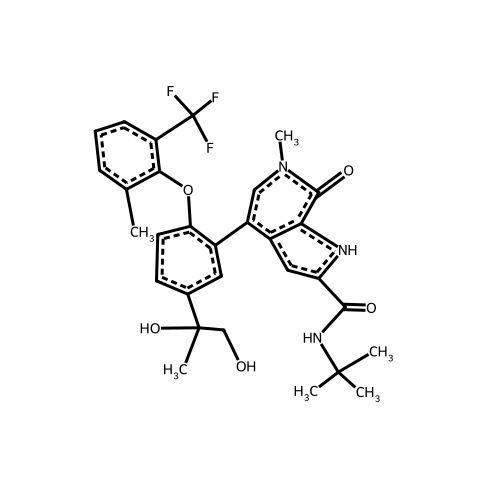 Cc1cccc(C(F)(F)F)c1Oc1ccc(C(C)(O)CO)cc1-c1cn(C)c(=O)c2[nH]c(C(=O)NC(C)(C)C)cc12